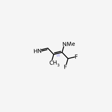 CN/C(=C(/C)C=N)C(F)F